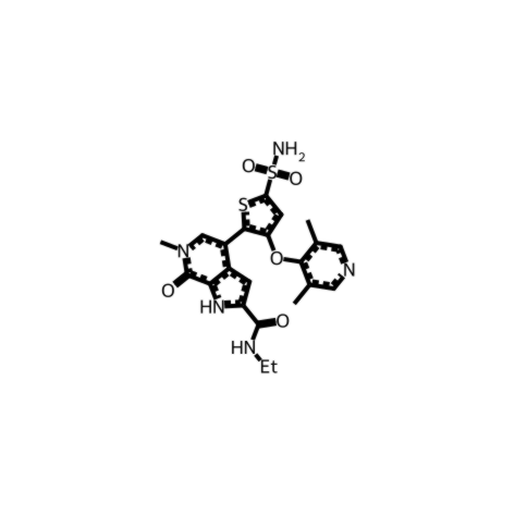 CCNC(=O)c1cc2c(-c3sc(S(N)(=O)=O)cc3Oc3c(C)cncc3C)cn(C)c(=O)c2[nH]1